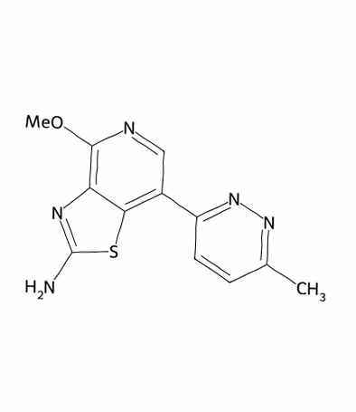 COc1ncc(-c2ccc(C)nn2)c2sc(N)nc12